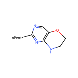 CCCCCc1ncc2c(n1)NCCO2